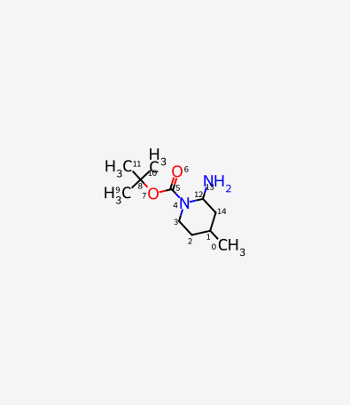 CC1CCN(C(=O)OC(C)(C)C)C(N)C1